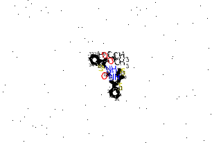 CC(C)(C)OC(=O)c1c(NC(=O)NCc2c(-c3ccsc3)sc3c2CCCC3)sc2c1CCCC2